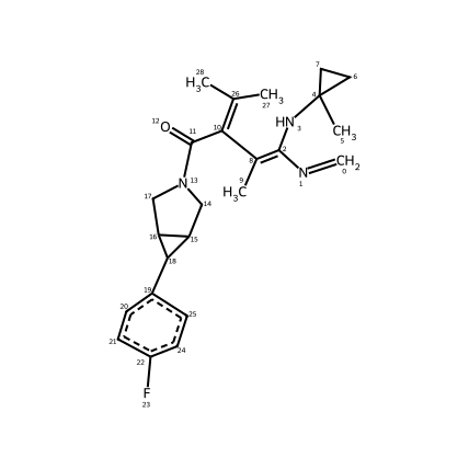 C=N/C(NC1(C)CC1)=C(\C)C(C(=O)N1CC2C(C1)C2c1ccc(F)cc1)=C(C)C